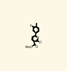 COC(=O)c1ccc(-c2ccc(C)c(F)c2)nc1Cl